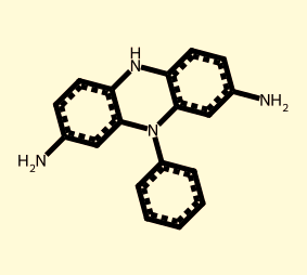 Nc1ccc2c(c1)N(c1ccccc1)c1cc(N)ccc1N2